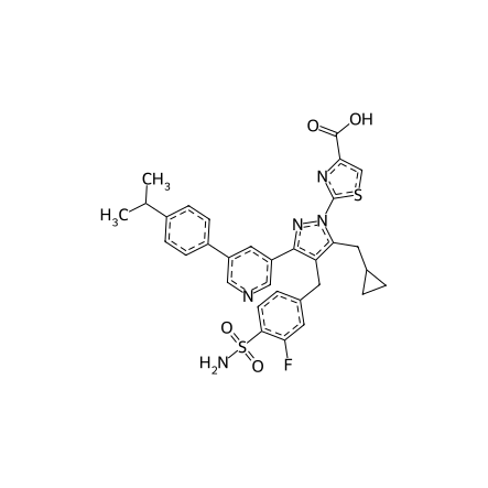 CC(C)c1ccc(-c2cncc(-c3nn(-c4nc(C(=O)O)cs4)c(CC4CC4)c3Cc3ccc(S(N)(=O)=O)c(F)c3)c2)cc1